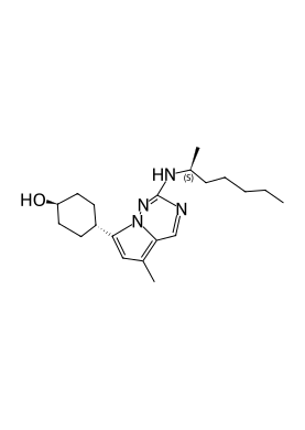 CCCCC[C@H](C)Nc1ncc2c(C)cc([C@H]3CC[C@H](O)CC3)n2n1